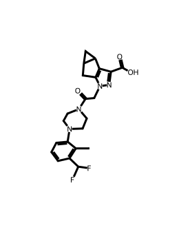 Cc1c(C(F)F)cccc1N1CCN(C(=O)Cn2nc(C(=O)O)c3c2CC2CC32)CC1